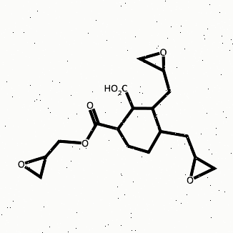 O=C(OCC1CO1)C1CCC(CC2CO2)C(CC2CO2)C1C(=O)O